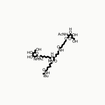 CCC(C)CNC(=O)CCCCCNC(=O)[C@H](CCCCNC(=O)CCCCCOC1OC(CO)C(O)C(O)C1NC(C)=O)NC(=O)CCCCCOC1OC(CO)C(O)C(O)C1NC(C)=O